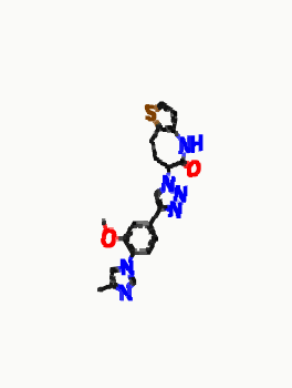 COc1cc(-c2cn(C3CCc4sccc4NC3=O)nn2)ccc1-n1cnc(C)c1